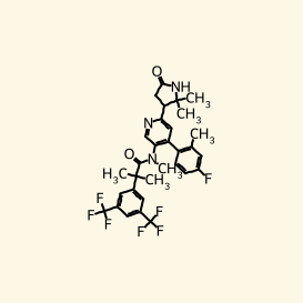 Cc1cc(F)ccc1-c1cc(C2CC(=O)NC2(C)C)ncc1N(C)C(=O)C(C)(C)c1cc(C(F)(F)F)cc(C(F)(F)F)c1